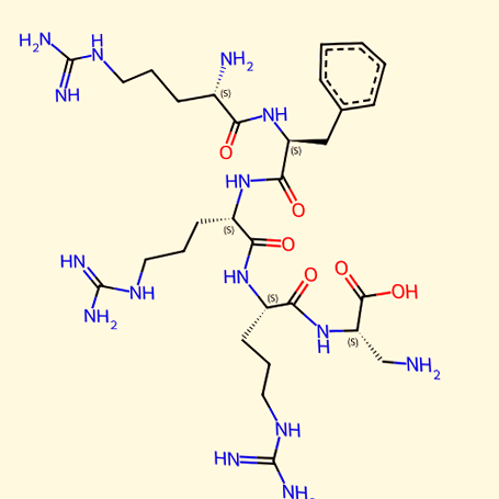 N=C(N)NCCC[C@H](NC(=O)[C@H](CCCNC(=N)N)NC(=O)[C@H](Cc1ccccc1)NC(=O)[C@@H](N)CCCNC(=N)N)C(=O)N[C@@H](CN)C(=O)O